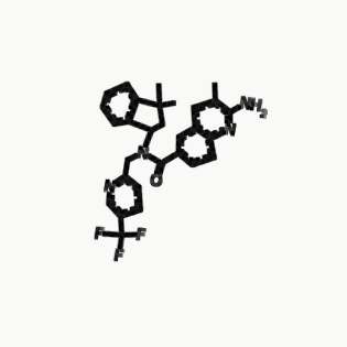 Cc1cc2cc(C(=O)N(Cc3ccc(C(F)(F)F)cn3)C3CC(C)(C)c4ccccc43)ccc2nc1N